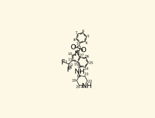 O=S(=O)(c1ccccc1)n1cc(C(F)F)c2c(NC3CCNCC3)cccc21